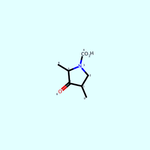 CC1CN(C(=O)O)C(C)C1=O